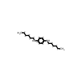 CCCCCCNc1ccc(NCCCCCC)cc1